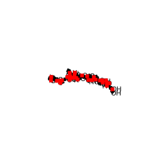 C=CCO[C@]12C[C@]3(CC[C@H]4CC(=C)C(CCC5C[C@@H](C)C(=C)[C@@H](C)O5)O4)O[C@@H]4[C@H](O1)[C@@H](O[C@H]1CC[C@H](CC(=O)O[C@H]5CO[C@H]6C[C@H]7OC(C[C@@H]8O[C@@]9(CC[C@@H]8O)C[C@H](C)[C@@H]8O[C@H](CC[C@@H](O)CO)C[C@@H]8O9)CC7OC6C5)O[C@H]41)[C@H]2O3